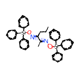 CCCC(=N\O[Si](c1ccccc1)(c1ccccc1)c1ccccc1)/C(C)=N/O[Si](c1ccccc1)(c1ccccc1)c1ccccc1